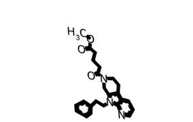 COC(=O)CCCC(=O)N1CCc2c(n(CCc3ccccc3)c3ncccc23)C1